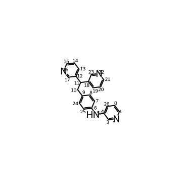 c1cncc(Nc2ccc(CC(c3cccnc3)c3cccnc3)cc2)c1